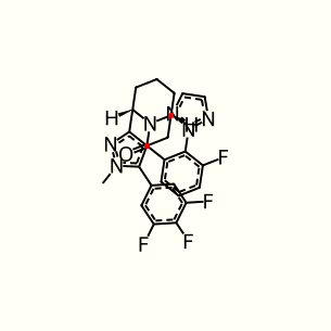 Cn1nc2c(c1-c1cc(F)c(F)c(F)c1)C[C@H]1CCC[C@@H]2N1C(=O)c1cccc(F)c1-n1nccn1